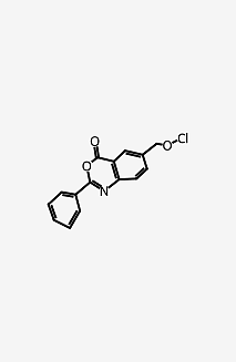 O=c1oc(-c2ccccc2)nc2ccc(COCl)cc12